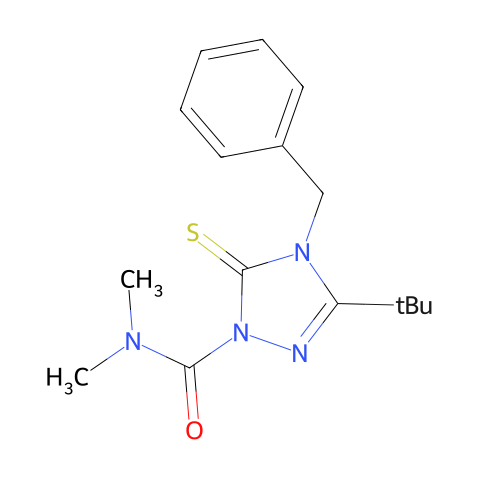 CN(C)C(=O)n1nc(C(C)(C)C)n(Cc2ccccc2)c1=S